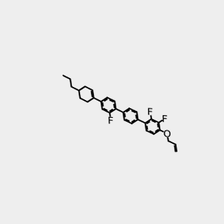 C=CCOc1ccc(-c2ccc(-c3ccc(C4=CCC(CCC)CC4)cc3F)cc2)c(F)c1F